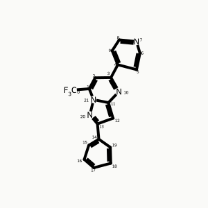 FC(F)(F)c1cc(-c2ccncc2)nc2cc(-c3ccccc3)nn12